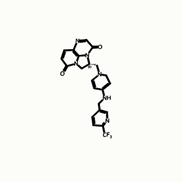 O=c1ccc2ncc(=O)n3c2n1C[C@H]3CN1C=CC(NCc2ccc(C(F)(F)F)nc2)=CC1